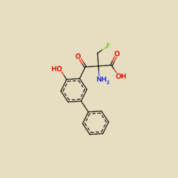 NC(CF)(C(=O)O)C(=O)c1cc(-c2ccccc2)ccc1O